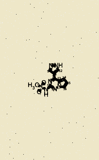 CS(=O)(=O)Nc1nc(-c2cn[nH]c2)c2cccn2n1